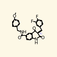 COc1ccc(CNC(=O)c2ccc3c(c2)C(=O)/C(=C\c2ccc(F)c(F)c2)C(=O)N3)cc1